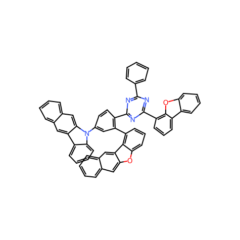 c1ccc(-c2nc(-c3ccc(-n4c5ccccc5c5cc6ccccc6cc54)cc3-c3cccc4oc5cc6ccccc6cc5c34)nc(-c3cccc4c3oc3ccccc34)n2)cc1